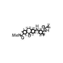 CNC(=O)c1ccc2c(c1)C(=O)c1ccc(Nc3ccc(F)c(NC(=O)C4CC4)c3)cc1CC2